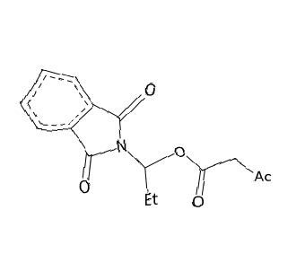 CCC(OC(=O)CC(C)=O)N1C(=O)c2ccccc2C1=O